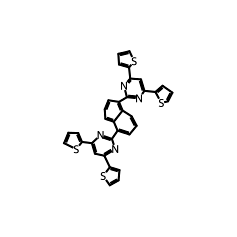 c1csc(-c2cc(-c3cccs3)nc(-c3cccc4c(-c5nc(-c6cccs6)cc(-c6cccs6)n5)cccc34)n2)c1